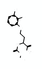 COC(=O)C(CCOc1cccc(C)c1C)NC(=O)OC(C)(C)C